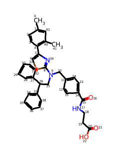 Cc1ccc(-c2csc(N(Cc3ccc(C(=O)NCCC(=O)O)cc3)CC(c3ccccc3)c3ccccc3)n2)c(C)c1